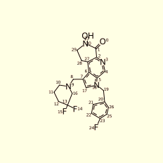 O=C1c2ncc3c(c(CN4CCCC(F)(F)C4)cn3Cc3ccc(F)cc3)c2CCN1O